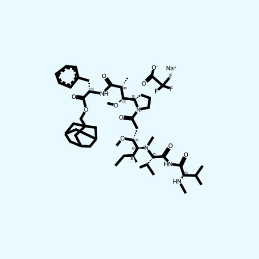 CC[C@H](C)[C@@H]([C@@H](CC(=O)N1CCC[C@H]1[C@H](OC)[C@@H](C)C(=O)N[C@@H](Cc1ccccc1)C(=O)OCC12CC3CC(CC(C3)C1)C2)OC)N(C)[C@H](C(=O)NC(=O)[C@@H](NC)C(C)C)C(C)C.O=C([O-])C(F)(F)F.[Na+]